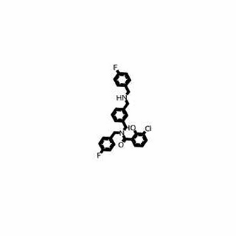 O=C(c1cccc(Cl)c1O)N(Cc1ccc(F)cc1)Cc1cccc(CNCc2ccc(F)cc2)c1